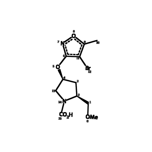 COC[C@@H]1C[C@H](Oc2noc(C)c2Br)CN1C(=O)O